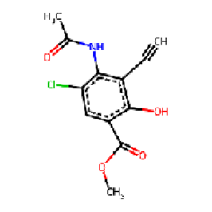 C#Cc1c(O)c(C(=O)OC)cc(Cl)c1NC(C)=O